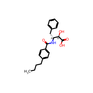 CCCCc1ccc(C(=O)N[C@H](Cc2ccccc2)[C@@H](O)C(=O)O)cc1